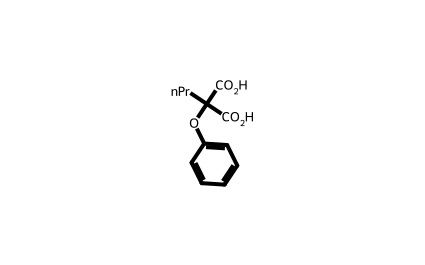 CCCC(Oc1ccccc1)(C(=O)O)C(=O)O